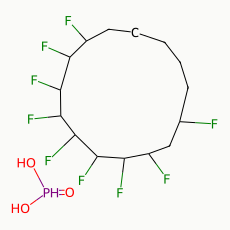 FC1CCCCCC(F)C(F)C(F)C(F)C(F)C(F)C(F)C(F)C1.O=[PH](O)O